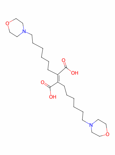 O=C(O)C(CCCCCCN1CCOCC1)=C(CCCCCCN1CCOCC1)C(=O)O